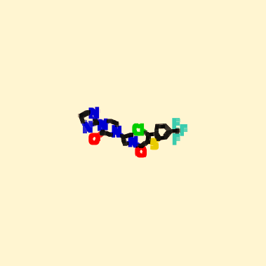 O=C(c1sc2cc(C(F)(F)F)ccc2c1Cl)N1CC(N2CCN(c3ncccn3)C(=O)C2)C1